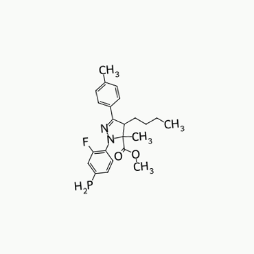 CCCCC1C(c2ccc(C)cc2)=NN(c2ccc(P)cc2F)C1(C)C(=O)OC